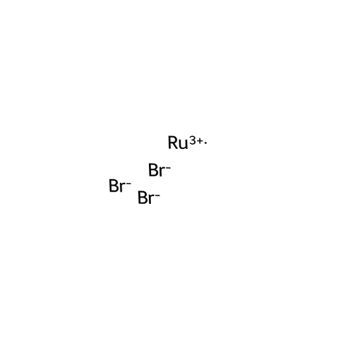 [Br-].[Br-].[Br-].[Ru+3]